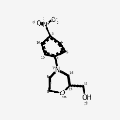 O=[N+]([O-])c1ccc(N2CCOC(CO)C2)cc1